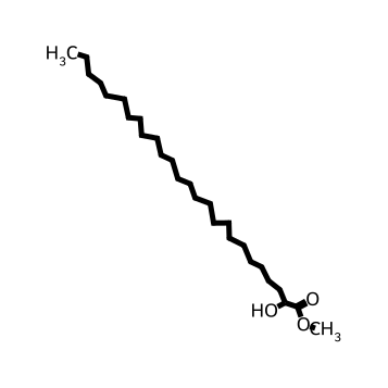 CCCCCCCCCCCCCCCCCCCCCCCCC(O)C(=O)OC